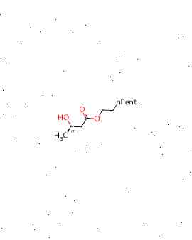 CCCCCCCOC(=O)C[C@@H](C)O